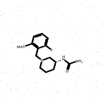 COc1cccc(F)c1CN1CCC[C@@H](NC(N)=O)C1